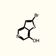 Oc1cncc2cc(Br)sc12